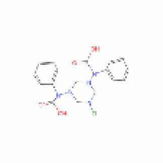 O=C(O)N(c1ccccc1)N1CN(Cl)CN(N(C(=O)O)c2ccccc2)C1